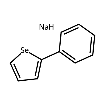 [NaH].c1ccc(-c2ccc[se]2)cc1